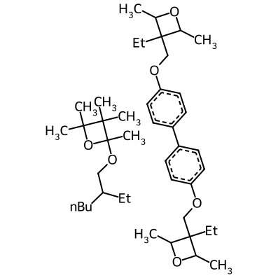 CCC1(COc2ccc(-c3ccc(OCC4(CC)C(C)OC4C)cc3)cc2)C(C)OC1C.CCCCC(CC)COC1(C)OC(C)(C)C1(C)C